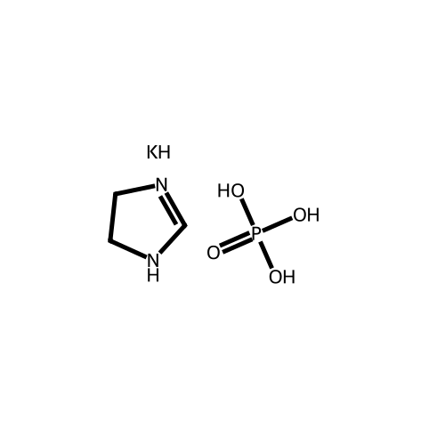 C1=NCCN1.O=P(O)(O)O.[KH]